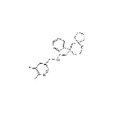 Fc1cc(CNCC[C@@]2(c3ccccn3)CCOC3(CCCC3)C2)cnc1I